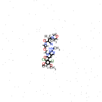 CNc1ncc2cc(-c3c(Cl)c(OC)cc(OC)c3Cl)c(=O)n(CCOC3CN(C(=O)C(C#N)=CC(C)(C)N4CCOCC4)C3)c2n1